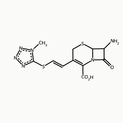 Cn1nnnc1S/C=C/C1=C(C(=O)O)N2C(=O)C(N)C2SC1